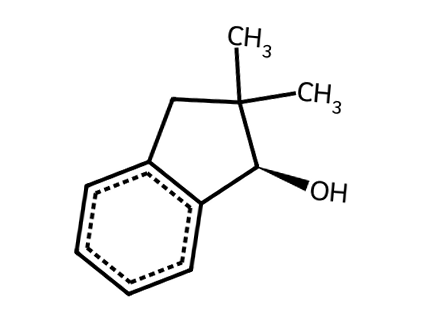 CC1(C)Cc2ccccc2[C@@H]1O